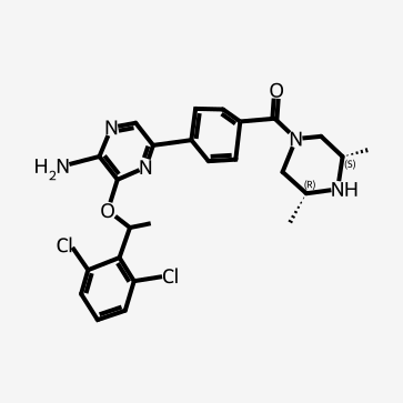 CC(Oc1nc(-c2ccc(C(=O)N3C[C@@H](C)N[C@@H](C)C3)cc2)cnc1N)c1c(Cl)cccc1Cl